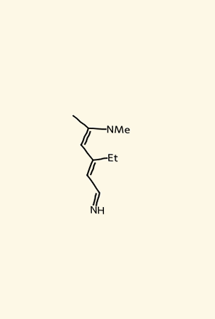 CCC(/C=C(/C)NC)=C\C=N